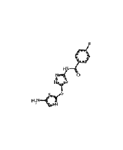 Nc1cnc(Sc2nnc(NC(=O)c3ccc(F)cc3)s2)s1